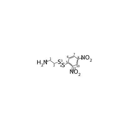 NCCSSc1ccc([N+](=O)[O-])cc1[N+](=O)[O-]